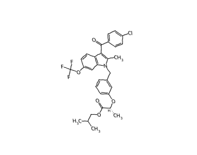 Cc1c(C(=O)c2ccc(Cl)cc2)c2ccc(OC(F)(F)F)cc2n1Cc1cccc(O[C@H](C)C(=O)OCC(C)C)c1